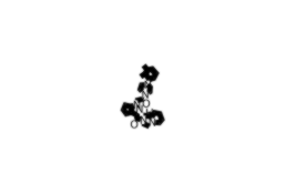 Cc1cccc(N2CCN(C(=O)Cn3nc(C(=O)N4CCN5CCCC[C@H]5C4)c4c3CCC4)CC2)c1C